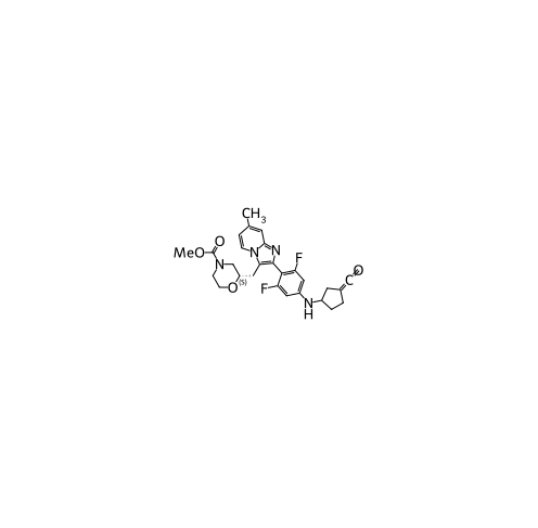 COC(=O)N1CCO[C@@H](Cc2c(-c3c(F)cc(NC4CCC(=C=O)C4)cc3F)nc3cc(C)ccn23)C1